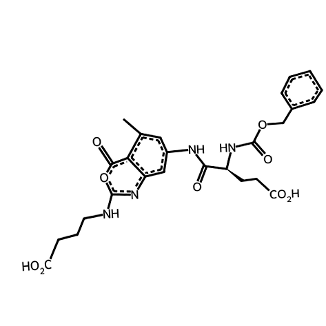 Cc1cc(NC(=O)[C@H](CCC(=O)O)NC(=O)OCc2ccccc2)cc2nc(NCCCC(=O)O)oc(=O)c12